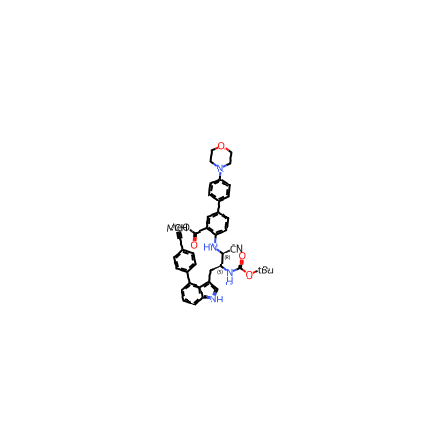 C#Cc1ccc(-c2cccc3[nH]cc(C[C@H](NC(=O)OC(C)(C)C)[C@H](C#N)Nc4ccc(-c5ccc(N6CCOCC6)cc5)cc4C(=O)OC)c23)cc1